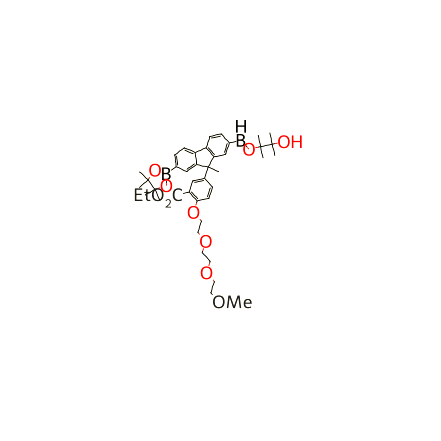 CCOC(=O)c1cc(C2(C)c3cc(BOC(C)(C)C(C)(C)O)ccc3-c3ccc(B4OC(C)(C)C(C)(C)O4)cc32)ccc1OCCOCCOCCOC